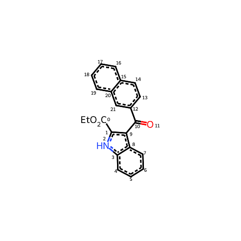 CCOC(=O)c1[nH]c2ccccc2c1C(=O)c1ccc2ccccc2c1